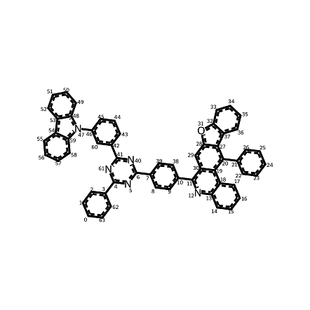 c1ccc(-c2nc(-c3ccc(-c4nc5ccccc5c5c(-c6ccccc6)c6c(cc45)oc4ccccc46)cc3)nc(-c3cccc(-n4c5ccccc5c5ccccc54)c3)n2)cc1